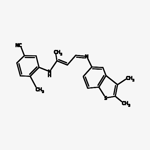 C/C(=C\C=N/c1ccc2sc(C)c(C)c2c1)Nc1cc(C#N)ccc1C